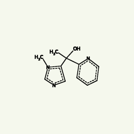 Cn1cncc1C(C)(O)c1ccccn1